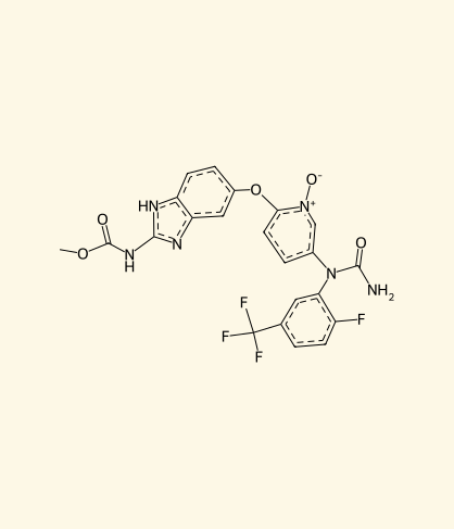 COC(=O)Nc1nc2cc(Oc3ccc(N(C(N)=O)c4cc(C(F)(F)F)ccc4F)c[n+]3[O-])ccc2[nH]1